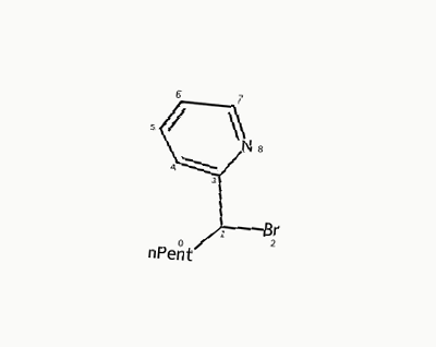 CCCCCC(Br)c1ccccn1